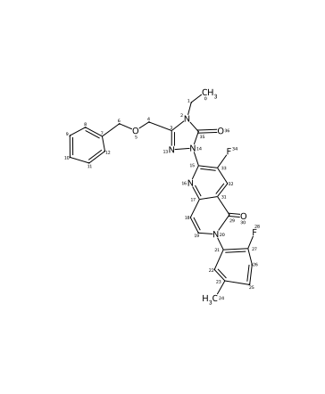 CCn1c(COCc2ccccc2)nn(-c2nc3ccn(-c4cc(C)ccc4F)c(=O)c3cc2F)c1=O